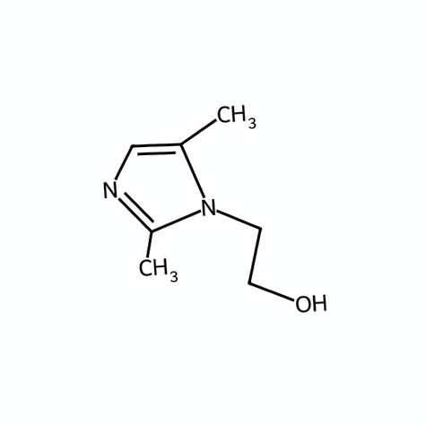 Cc1cnc(C)n1CCO